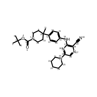 CC(C)(C)OC(=O)N1CCC(C)(c2ccc(Nc3nc(N4CCCCC4)cnc3C#N)cc2)CC1